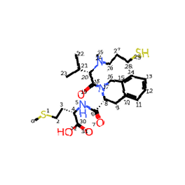 CSCC[C@H](NC(=O)[C@H]1Cc2ccccc2CN1C(=O)[C@H](C(C)C)N(C)CCCS)C(=O)O